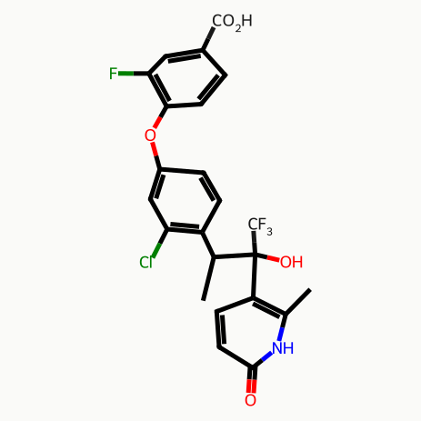 Cc1[nH]c(=O)ccc1C(O)(C(C)c1ccc(Oc2ccc(C(=O)O)cc2F)cc1Cl)C(F)(F)F